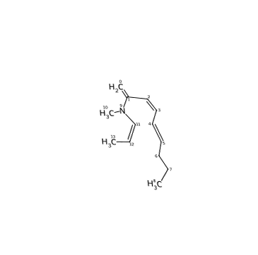 C=C(/C=C\C=C\CCC)N(C)/C=C\C